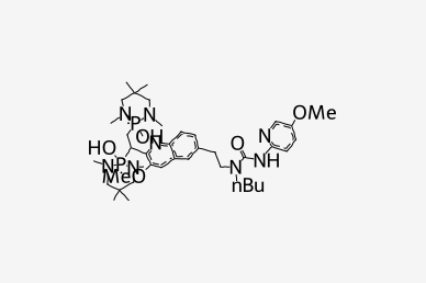 CCCCN(CCc1ccc2nc(C(C[P]3(O)N(C)CC(C)(C)CN3C)[P]3(O)N(C)CC(C)(C)CN3C)c(OC)cc2c1)C(=O)Nc1ccc(OC)cn1